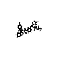 CC(C)OC(=O)[C@H](Cc1cccc(S(=O)(=O)N2CC(Oc3ccc(F)cc3)(c3ccccc3)C2)c1)NC(=O)OC(C)(C)C